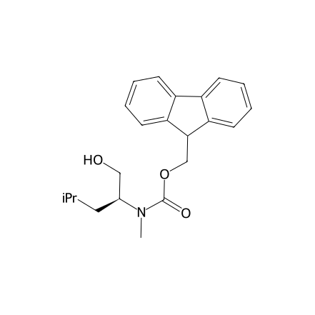 CC(C)C[C@@H](CO)N(C)C(=O)OCC1c2ccccc2-c2ccccc21